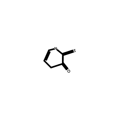 O=C1CC=C[N]C1=S